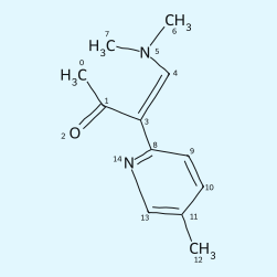 CC(=O)C(=CN(C)C)c1ccc(C)cn1